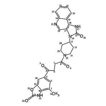 Cc1cc(C(=O)CCC(=O)N2CCC(n3c(=O)[nH]c4c5ccccc5ncc43)CC2)cc2oc(=O)[nH]c12